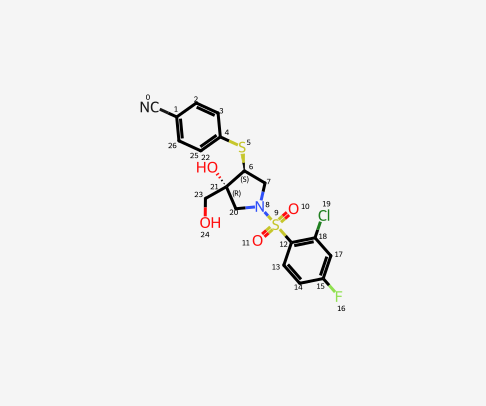 N#Cc1ccc(S[C@H]2CN(S(=O)(=O)c3ccc(F)cc3Cl)C[C@@]2(O)CO)cc1